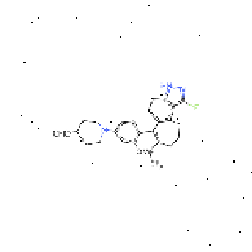 COc1cc(N2CCC(C=O)CC2)ccc1C1=C(CC(F)(F)F)CCCc2c1ccc1[nH]nc(F)c21